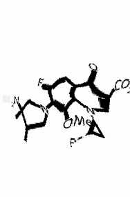 COc1c(N2CC(C)C(C)(N)C2)c(F)cc2c(=O)c(C(=O)O)cn([C@@H]3C[C@@H]3F)c12